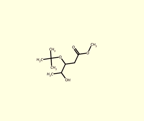 COC(=O)CC(OC(C)(C)C)C(C)O